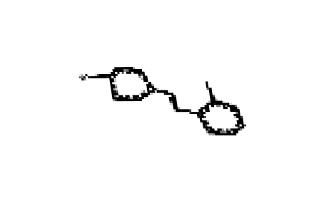 N#Cc1ccc(C=Cc2ccccc2I)cc1